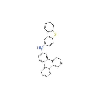 C1=Cc2c(sc3ccc(Nc4ccc5c6ccccc6c6ccccc6c5c4)cc23)CC1